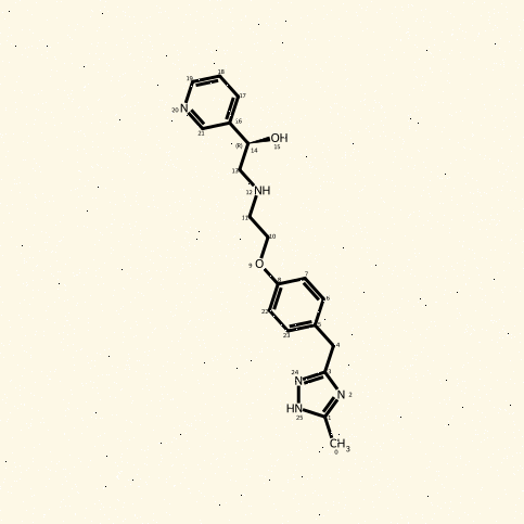 Cc1nc(Cc2ccc(OCCNC[C@H](O)c3cccnc3)cc2)n[nH]1